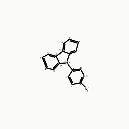 Brc1ccc(-n2c3ccccc3c3ccccc32)cn1